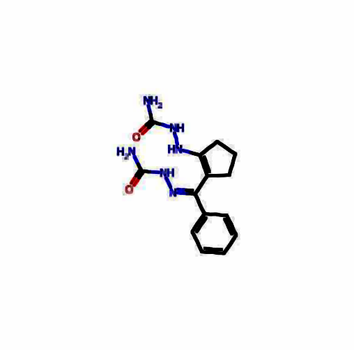 NC(=O)NN=C(C1=C(NNC(N)=O)CCC1)c1ccccc1